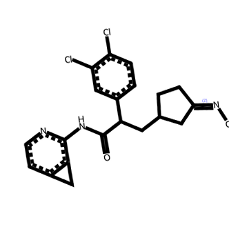 O=C(Nc1nccc2c1C2)C(CC1CC/C(=N/O)C1)c1ccc(Cl)c(Cl)c1